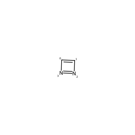 C1=CN=N1